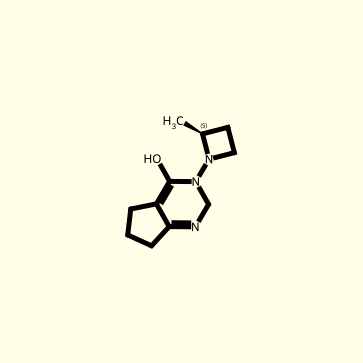 C[C@H]1CCN1N1CN=C2CCCC2=C1O